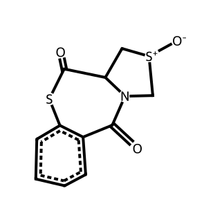 O=C1Sc2ccccc2C(=O)N2C[S+]([O-])CC12